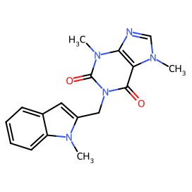 Cn1cnc2c1c(=O)n(Cc1cc3ccccc3n1C)c(=O)n2C